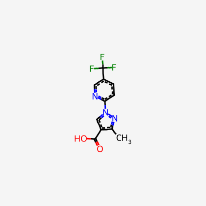 Cc1nn(-c2ccc(C(F)(F)F)cn2)cc1C(=O)O